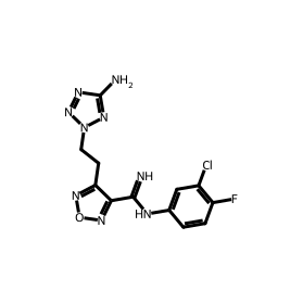 N=C(Nc1ccc(F)c(Cl)c1)c1nonc1CCn1nnc(N)n1